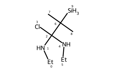 CCNC(Cl)(NCC)C(C)(C)[SiH3]